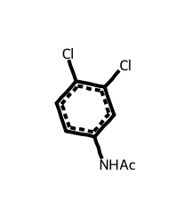 CC(=O)Nc1ccc(Cl)c(Cl)c1